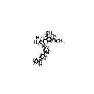 CNC(=O)c1ccc(C(C)[C@H](C)CNc2cc(-c3ccc(N[C@H]4CCOC4)nc3)ncn2)c(OC)c1